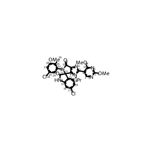 COc1ncc(-c2nc3c(n2C(C)C)C2(C(=O)Nc4cc(Cl)ccc42)N(c2cc(Cl)ccc2OC)C3=O)c(OC)n1